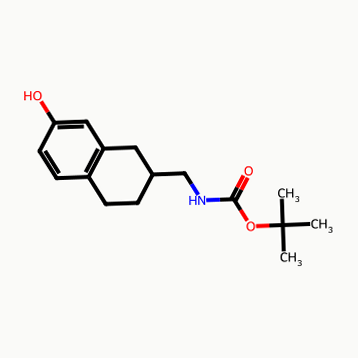 CC(C)(C)OC(=O)NCC1CCc2ccc(O)cc2C1